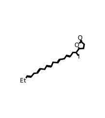 CCC=CCC=CCC=CCC=CCC=CCC(I)C1CCC(=O)O1